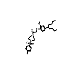 CCCCC(CCCC)c1ccc(OCC(=O)N2CCN(S(=O)(=O)c3ccc(C)cc3)CC2)c(OC)c1